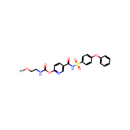 CCOCCNC(=O)Oc1ccc(C(=O)NS(=O)(=O)c2ccc(Oc3ccccc3)cc2)cn1